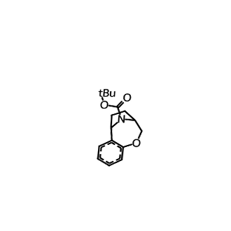 CC(C)(C)OC(=O)N1C2CCC1c1ccccc1OC2